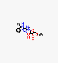 CCCOCC1OC(n2cnc3c(N[C@@H](CC)c4ccccc4)ncnc32)C(O)C1O